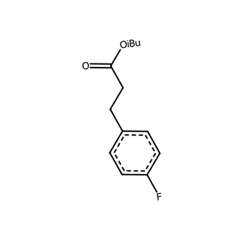 CC(C)COC(=O)CCc1ccc(F)cc1